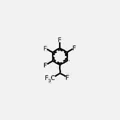 Fc1[c]c(C(F)C(F)(F)F)c(F)c(F)c1F